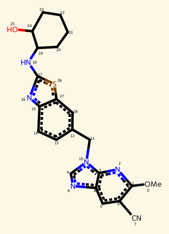 COc1nc2c(cc1C#N)ncn2Cc1ccc2nc(NC3CCCCC3O)sc2c1